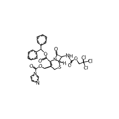 O=C(NC1C(=O)N2C(C(=O)OC(c3ccccc3)c3ccccc3)=C(COC(=O)n3ccnc3)CS[C@@H]12)OCC(Cl)(Cl)Cl